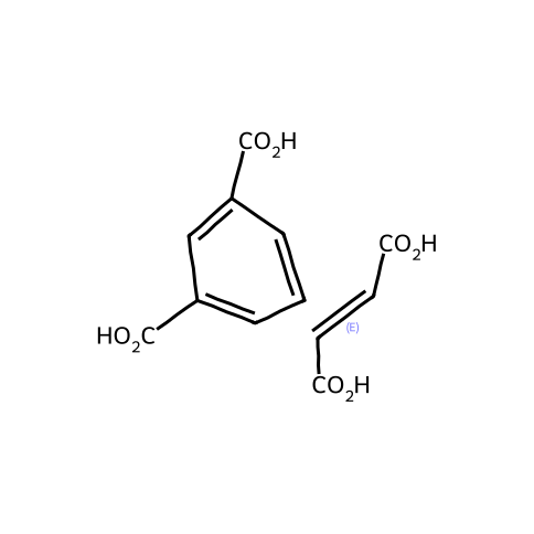 O=C(O)/C=C/C(=O)O.O=C(O)c1cccc(C(=O)O)c1